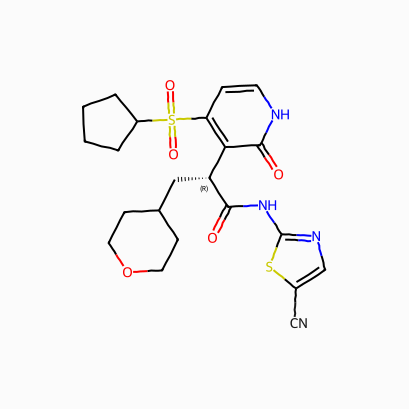 N#Cc1cnc(NC(=O)[C@H](CC2CCOCC2)c2c(S(=O)(=O)C3CCCC3)cc[nH]c2=O)s1